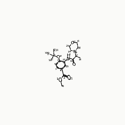 COC(=O)c1ccc(OC(F)(F)F)c(NC(=O)C(C)N2CCOCC2)c1